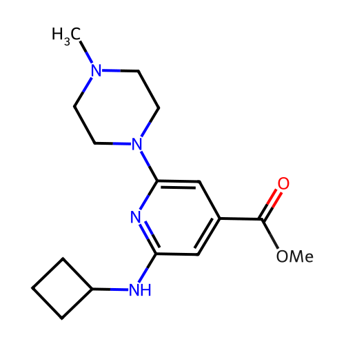 COC(=O)c1cc(NC2CCC2)nc(N2CCN(C)CC2)c1